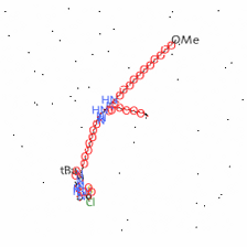 C#CCOCCOCCOCCOCCC(=O)N(CC(=O)NCCOCCOCCOCCOCCOCCOCCOCCOCCOCCOCCOCCOC)CC(=O)NCCn1cc(COCCOCCOCCOCCOCCOCCOCCCCN(C(=O)OC(C)(C)C)[C@H]2CCN(c3nc4cc(C5CCCCN5C(=O)c5cc(Cl)ccc5NS(C)(=O)=O)nn4cc3C)C2)nn1